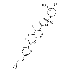 CC[C@@H](Oc1ccc(C(=O)NS(=O)(=O)N2CCN(C)[C@H](C)C2)c(F)c1F)c1ccc(OCC2CC2)cn1